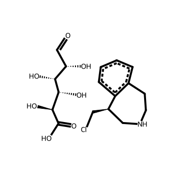 ClC[C@@H]1CNCCc2ccccc21.O=C[C@H](O)[C@@H](O)[C@H](O)[C@H](O)C(=O)O